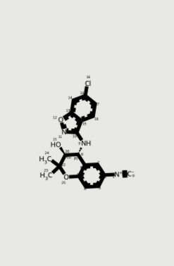 [C-]#[N+]c1ccc2c(c1)[C@@H](Nc1noc3cc(Cl)ccc13)[C@H](O)C(C)(C)O2